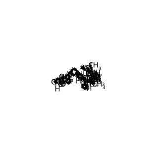 CCC[C@@H](NC(=O)[C@@H]1[C@H]2CCC[C@H]2CN1C(=O)[C@@H](NC(=O)[C@@H](NC(=O)c1cnc(C2CCCCC(Cc3cc4c5c(cccc5c3)C(=O)N(C3CCC(=O)NC3=O)C4=O)CC2)cn1)C1CCCCC1)C(C)(C)C)C(O)C(=O)NC1CC1